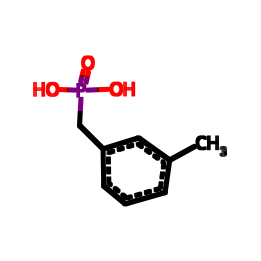 Cc1cccc(CP(=O)(O)O)c1